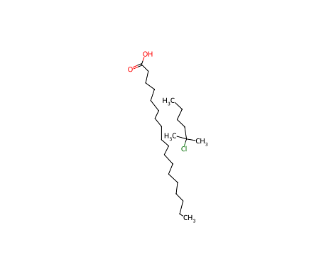 CCCCC(C)(C)Cl.CCCCCCCCCCCCCCCCCC(=O)O